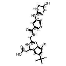 CC(C)(C)c1cc(Br)cc(C(CC(=O)O)NC(=O)CNC(=O)c2cncc(NC3=NCC(O)CN3)c2)c1